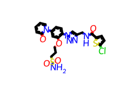 NS(=O)(=O)CCCOc1cc(-n2ccccc2=O)ccc1-n1cc(CNC(=O)c2ccc(Cl)s2)nn1